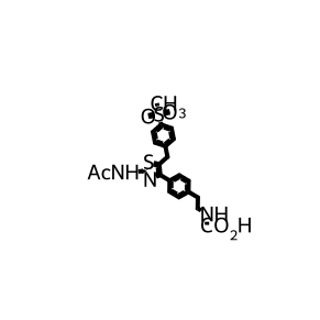 CC(=O)Nc1nc(-c2ccc(CCNC(=O)O)cc2)c(Cc2ccc(S(C)(=O)=O)cc2)s1